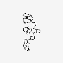 c1cc(-c2ccc3ccc4cccc5ccc2c3c45)cc(-c2c3ccccc3c(-c3cccc(-c4ccc5ccc6cccc7ccc4c5c67)c3)c3c2oc2ccccc23)c1